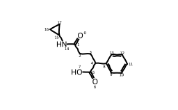 O=C(CCC(C(=O)O)c1ccccc1)NC1CC1